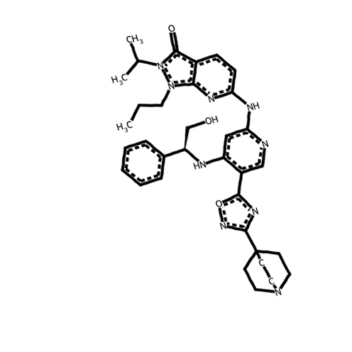 CCCn1c2nc(Nc3cc(N[C@H](CO)c4ccccc4)c(-c4nc(C56CCN(CC5)CC6)no4)cn3)ccc2c(=O)n1C(C)C